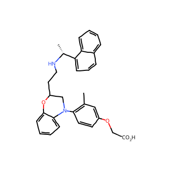 Cc1cc(OCC(=O)O)ccc1N1CC(CCN[C@H](C)c2cccc3ccccc23)Oc2ccccc21